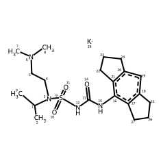 CC(C)N(CCN(C)C)S(=O)(=O)NC(=O)Nc1c2c(cc3c1CCC3)CCC2.[K]